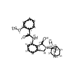 CCOc1ccccc1C(=O)Nc1cccc2c1C(=O)N([C@@H]1CN3CCC1CC3)C2